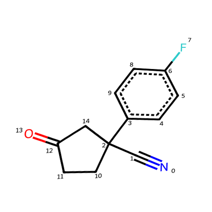 N#CC1(c2ccc(F)cc2)CCC(=O)C1